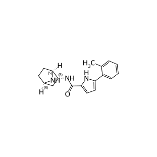 Cc1ccccc1-c1ccc(C(=O)N[C@@H]2C[C@H]3CC[C@@H]2N3)[nH]1